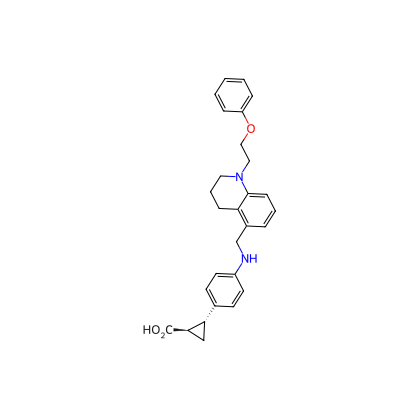 O=C(O)[C@@H]1C[C@H]1c1ccc(NCc2cccc3c2CCCN3CCOc2ccccc2)cc1